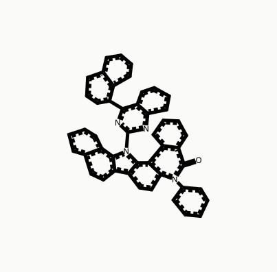 O=c1c2ccccc2c2c(ccc3c4ccc5ccccc5c4n(-c4nc(-c5cccc6ccccc56)c5ccccc5n4)c32)n1-c1ccccc1